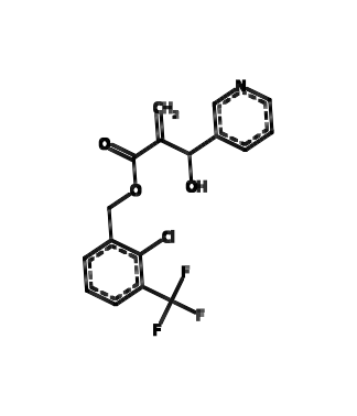 C=C(C(=O)OCc1cccc(C(F)(F)F)c1Cl)C(O)c1cccnc1